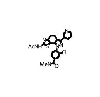 CNC(=O)c1ccc(-n2nc(-c3cccnc3)c3c2-c2sc(NC(C)=O)nc2CC3)c(Cl)c1